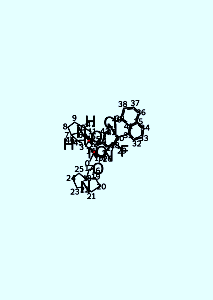 CC(=O)CC(=O)N1[C@@H]2CC[C@H]1CN(c1nc(OCC34CCCN3CCC4)nc3c(F)c(-c4cccc5cccc(Cl)c45)ncc13)C2